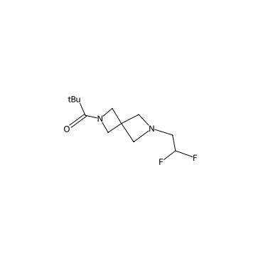 CC(C)(C)C(=O)N1CC2(CN(CC(F)F)C2)C1